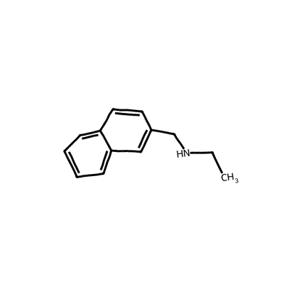 CCNCc1ccc2ccccc2c1